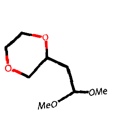 COC(CC1COCCO1)OC